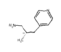 C[C@H](CN)Cc1ccncc1